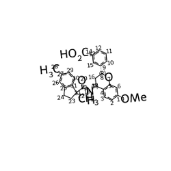 COc1ccc2c(c1)O[C@@H](c1cccc(C(=O)O)c1)C[C@H]2NC(=O)C1(C)CCc2cc(C)ccc21